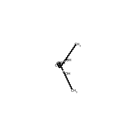 CCCCCCCCCCCCCCCC(O)CCSCCCc1ccc(C(=O)O)c(C(=O)O)c1CCCSCCC(O)CCCCCCCCCCCCCCC